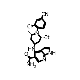 CC[C@@H]1C[C@@H](Nc2c(C(N)=O)cnc3[nH]ccc23)C[C@H](C)N1c1ccc(C#N)cc1Cl